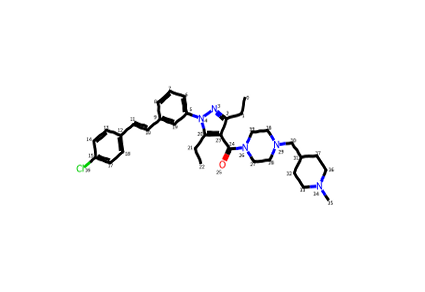 CCc1nn(-c2cccc(C=Cc3ccc(Cl)cc3)c2)c(CC)c1C(=O)N1CCN(CC2CCN(C)CC2)CC1